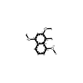 COc1cc(OC)c2cccc(OC)c2c1C